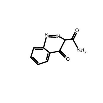 NC(=O)C1N=Nc2ccccc2C1=O